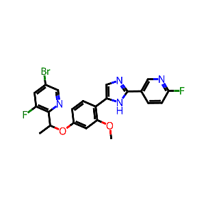 COc1cc(OC(C)c2ncc(Br)cc2F)ccc1-c1cnc(-c2ccc(F)nc2)[nH]1